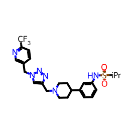 CC(C)S(=O)(=O)Nc1cccc(C2CCN(Cc3cn(Cc4ccc(C(F)(F)F)nc4)nn3)CC2)c1